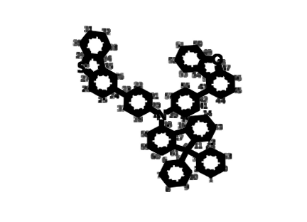 c1ccc(C2(c3ccccc3)c3ccccc3-c3c(N(c4ccc(-c5ccc6sc7ccccc7c6c5)cc4)c4ccc(-c5cccc6oc7ccccc7c56)cc4)cccc32)cc1